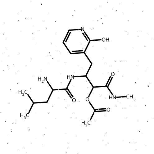 CNC(=O)C(OC(C)=O)C(Cc1cccnc1O)NC(=O)C(N)CC(C)C